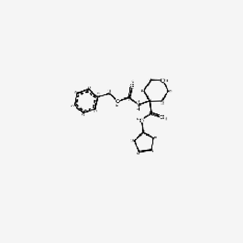 O=C(NC1(C(=O)OC2CCCC2)CCOCC1)OCc1ccccc1